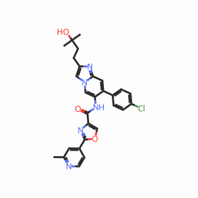 Cc1cc(-c2nc(C(=O)Nc3cn4cc(CCC(C)(C)O)nc4cc3-c3ccc(Cl)cc3)co2)ccn1